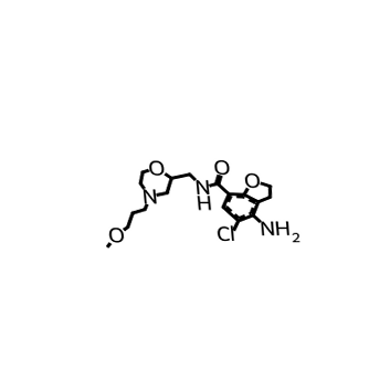 COCCCN1CCOC(CNC(=O)c2cc(Cl)c(N)c3c2OCC3)C1